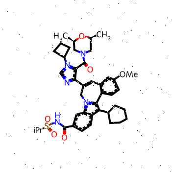 COc1ccc2c(c1)C=C(c1ncn(C3CCC3)c1C(=O)N1C[C@@H](C)O[C@@H](C)C1)Cn1c-2c(C2CCCCC2)c2ccc(C(=O)NS(=O)(=O)C(C)C)cc21